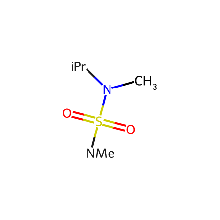 CNS(=O)(=O)N(C)C(C)C